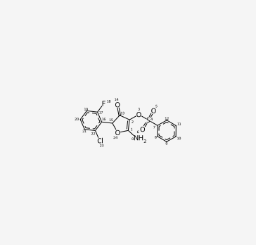 NC1=C(OS(=O)(=O)c2ccccc2)C(=O)C(c2c(F)cccc2Cl)O1